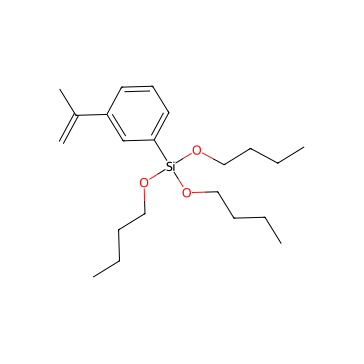 C=C(C)c1cccc([Si](OCCCC)(OCCCC)OCCCC)c1